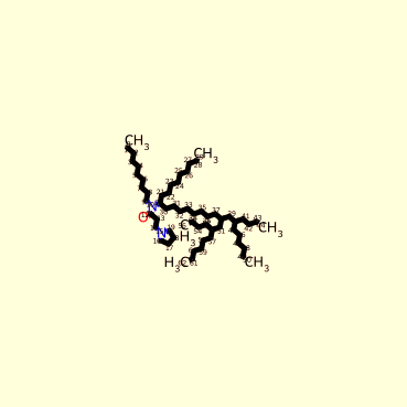 CCCCCCCCCCN(C(=O)CCN1CCCC1)C(CCCCCCCCC)CCCCCCCCC(CC(CCCC)CCCCCC)CC(CCCC)CCCCCC